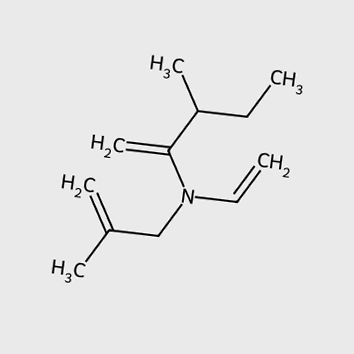 C=CN(CC(=C)C)C(=C)C(C)CC